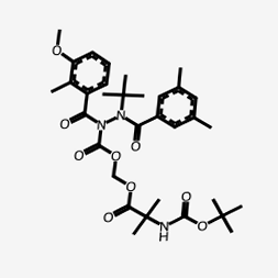 COc1cccc(C(=O)N(C(=O)OCOC(=O)C(C)(C)NC(=O)OC(C)(C)C)N(C(=O)c2cc(C)cc(C)c2)C(C)(C)C)c1C